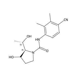 Cc1c(C#N)ccc(NC(=O)N2CCC(O)[C@H]2[C@H](C)O)c1C